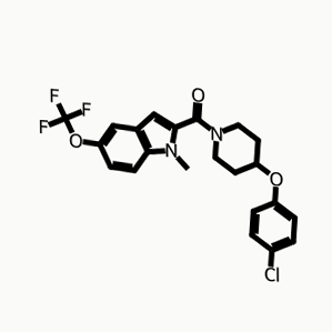 Cn1c(C(=O)N2CCC(Oc3ccc(Cl)cc3)CC2)cc2cc(OC(F)(F)F)ccc21